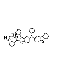 CC1(C)c2ccccc2-c2c1c1ccccc1c1c2oc2ccc(N(C3=Cc4c(sc5ccccc45)CC3)c3ccccc3)cc21